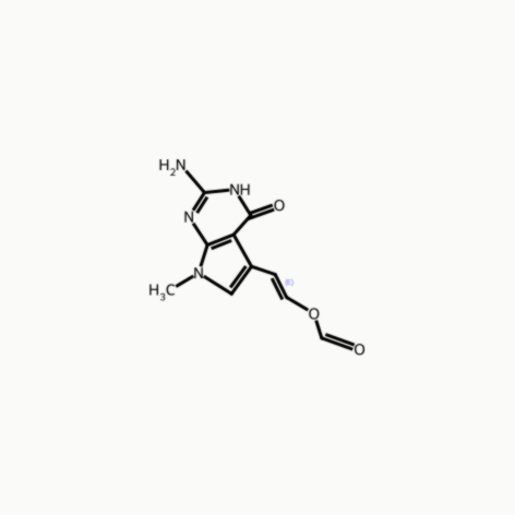 Cn1cc(/C=C/OC=O)c2c(=O)[nH]c(N)nc21